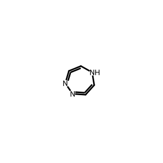 C1=CNC=C=NN=1